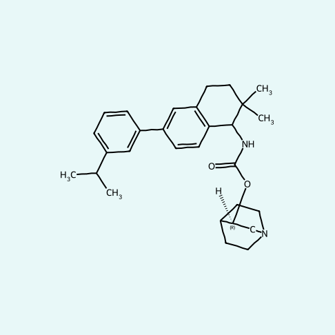 CC(C)c1cccc(-c2ccc3c(c2)CCC(C)(C)C3NC(=O)O[C@H]2CN3CCC2CC3)c1